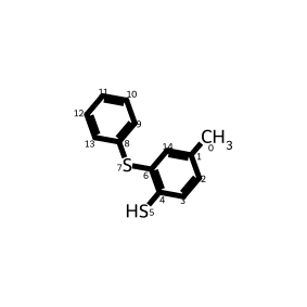 Cc1ccc(S)c(Sc2ccccc2)c1